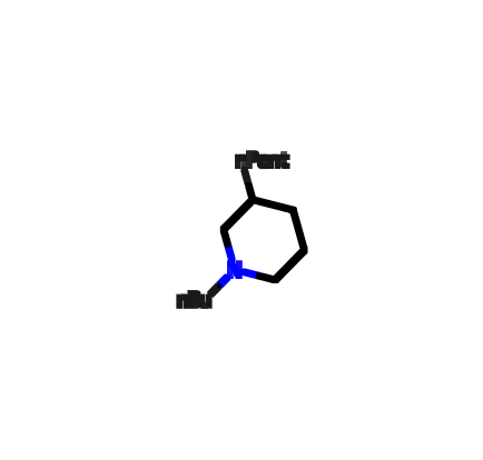 [CH2]CCCCC1CCCN(CCCC)C1